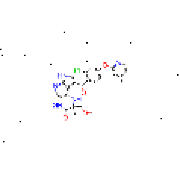 COCC1(C)Nc2c(cnc3[nH]cc(C(=O)c4ccc(Oc5cc(C)ccn5)cc4Cl)c23)NC1=O